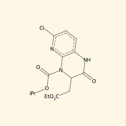 CCOC(=O)CC1C(=O)Nc2ccc(Cl)nc2N1C(=O)OC(C)C